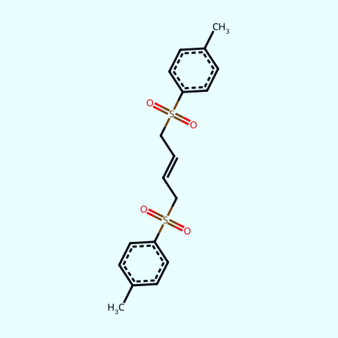 Cc1ccc(S(=O)(=O)CC=CCS(=O)(=O)c2ccc(C)cc2)cc1